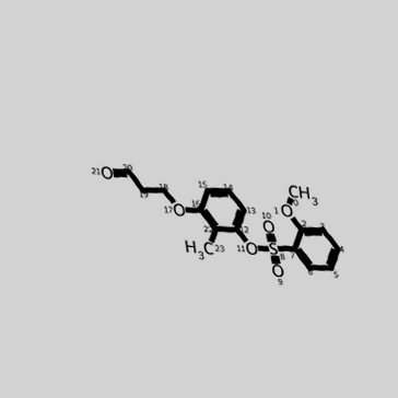 COc1ccccc1S(=O)(=O)Oc1cccc(OCCC=O)c1C